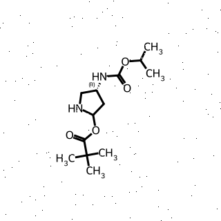 CC(C)OC(=O)N[C@H]1CNC(OC(=O)C(C)(C)C)C1